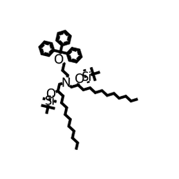 CCCCCCCCCCC(CN(CCCOC(c1ccccc1)(c1ccccc1)c1ccccc1)CC(CCCCCCCCCC)O[Si](C)(C)C(C)(C)C)O[Si](C)(C)C(C)(C)C